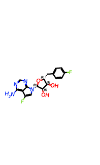 Nc1ncnc2c1c(F)cn2[C@@H]1O[C@H](Cc2ccc(F)cc2)[C@@H](O)[C@H]1O